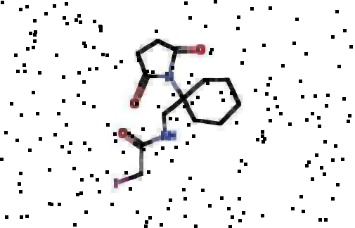 O=C(CI)NCC1(N2C(=O)CCC2=O)CCCCC1